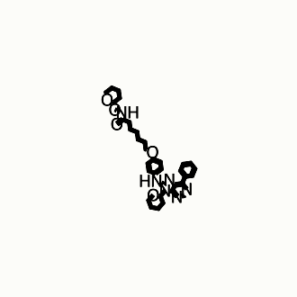 O=C(CCCCCCOc1ccc(Nc2nc3c(-c4ccccc4)ncnc3n2C2CCCCO2)cc1)NOC1CCCCO1